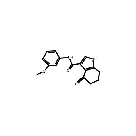 COc1cccc(NC(=O)c2c[nH]c3c2C(=O)CCC3)c1